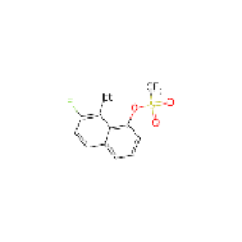 CCc1c(F)ccc2cccc(OS(=O)(=O)C(F)(F)F)c12